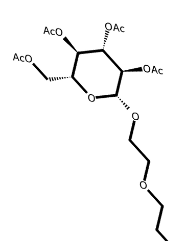 CNCCOCCO[C@@H]1O[C@H](COC(C)=O)[C@@H](OC(C)=O)[C@H](OC(C)=O)[C@H]1OC(C)=O